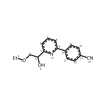 CCOCC(O)c1cccc(-c2ccc(C#N)cc2)n1